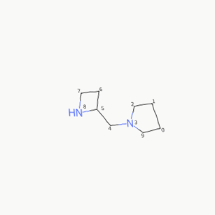 C1CCN(CC2CCN2)C1